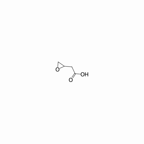 O=C(O)CC1CO1